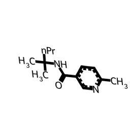 CCCC(C)(C)NC(=O)c1ccc(C)nc1